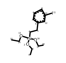 CCO[Si](CCc1cccc(I)c1)(OCC)OCC